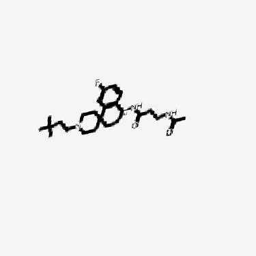 CC(=O)NCCC(=O)N[C@H]1CCC2(CCN(CCC(C)(C)C)CC2)c2cc(F)ccc21